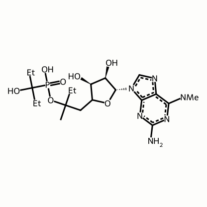 CCC(C)(CC1O[C@@H](n2cnc3c(NC)nc(N)nc32)[C@H](O)[C@@H]1O)OP(=O)(O)C(O)(CC)CC